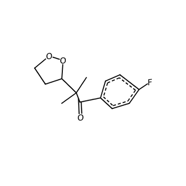 CC(C)(C(=O)c1ccc(F)cc1)C1CCOO1